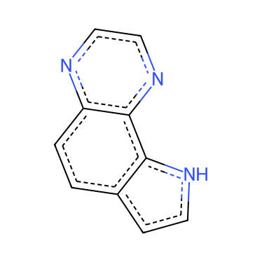 c1cnc2c(ccc3cc[nH]c32)n1